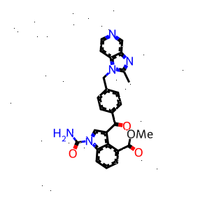 COC(=O)c1cccc2c1c(C(=O)c1ccc(Cn3c(C)nc4cnccc43)cc1)cn2C(N)=O